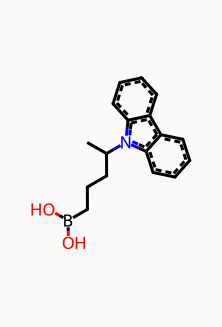 CC(CCCB(O)O)n1c2ccccc2c2ccccc21